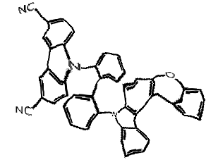 N#Cc1ccc2c(c1)c1cc(C#N)ccc1n2-c1ccccc1-c1ccccc1-n1c2ccccc2c2c3c(ccc21)oc1ccccc13